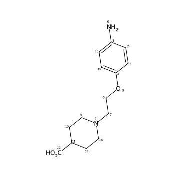 Nc1ccc(OCCN2CCC(C(=O)O)CC2)cc1